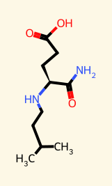 CC(C)CCN[C@@H](CCC(=O)O)C(N)=O